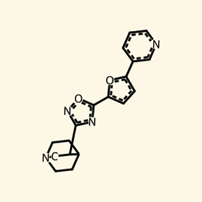 c1cncc(-c2ccc(-c3nc(C4CN5CCC4CC5)no3)o2)c1